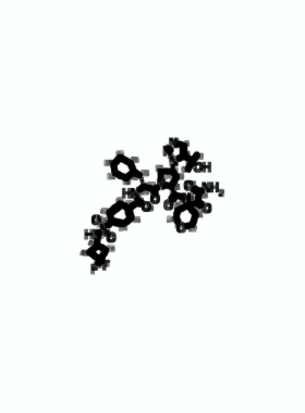 CC(C)(O)c1cnnn1[C@H]1C[C@@H](C(=O)NC2(C(=O)C(N)=O)CCOCC2)N(C(=O)[C@@H](CC2CCCCC2)NC(=O)c2ccc(S(=O)(=O)NC3CC(F)(F)C3)cc2)C1